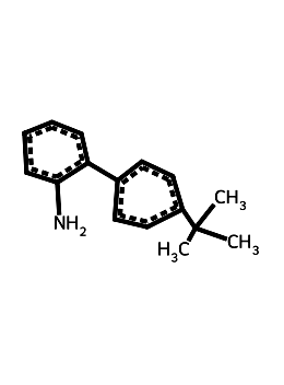 CC(C)(C)c1ccc(-c2ccccc2N)cc1